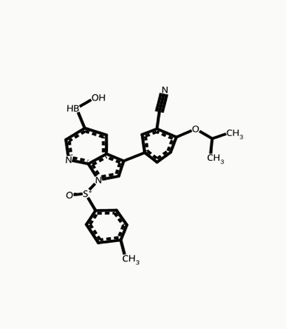 Cc1ccc([S+]([O-])n2cc(-c3ccc(OC(C)C)c(C#N)c3)c3cc(BO)cnc32)cc1